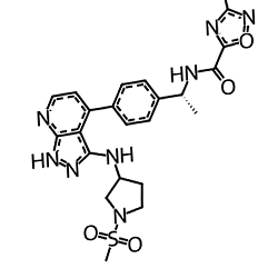 C[C@@H](NC(=O)c1nc(C(C)(C)C)no1)c1ccc(-c2ccnc3[nH]nc(NC4CCN(S(C)(=O)=O)C4)c23)cc1